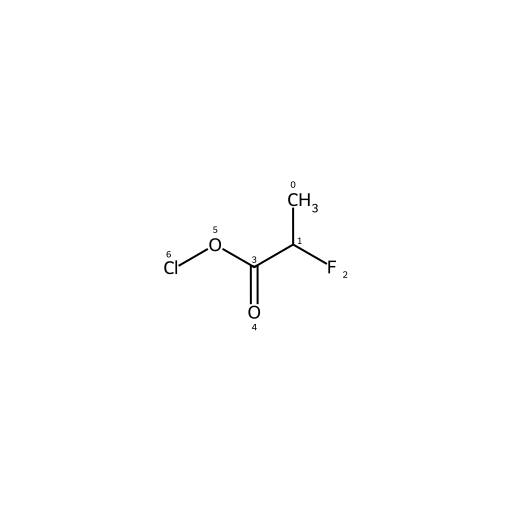 CC(F)C(=O)OCl